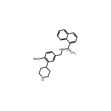 COc1ccc(CN[C@H](C)c2cccc3ccccc23)cc1C1CCNCC1